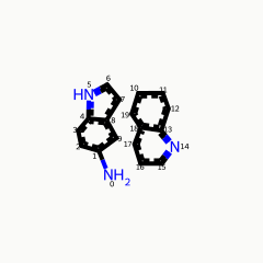 Nc1ccc2[nH]ccc2c1.c1ccc2ncccc2c1